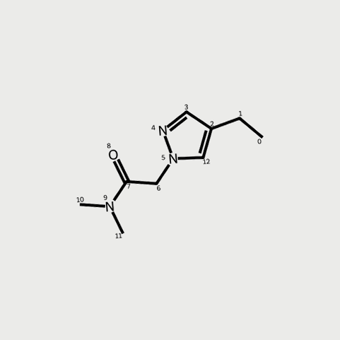 CCc1cnn(CC(=O)N(C)C)c1